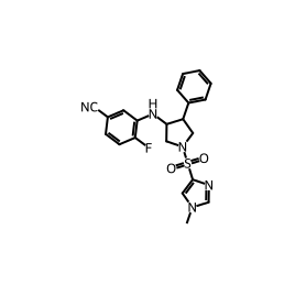 Cn1cnc(S(=O)(=O)N2CC(Nc3cc(C#N)ccc3F)C(c3ccccc3)C2)c1